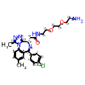 Cc1ccc2c(c1)C(c1ccc(Cl)cc1)=N[C@@H](CC(=O)NCCOCCOCCN)c1nnc(C)n1-2